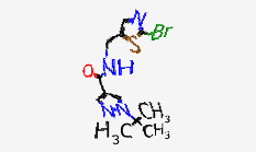 CC(C)(C)n1cc(C(=O)NCc2cnc(Br)s2)cn1